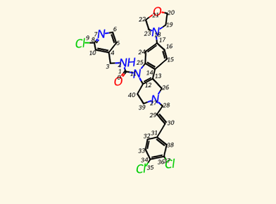 O=C(NCc1ccnc(Cl)c1)n1c2c(c3ccc(N4CCOCC4)cc31)CN(C/C=C/c1ccc(Cl)c(Cl)c1)CC2